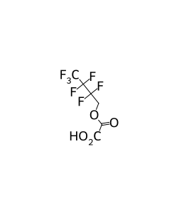 O=C(O)C(=O)OCC(F)(F)C(F)(F)C(F)(F)F